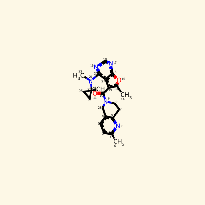 Cc1ccc2c(n1)CCN(C(=O)c1c(C)oc3ncnc(N(C)C4(C)CC4)c13)C2